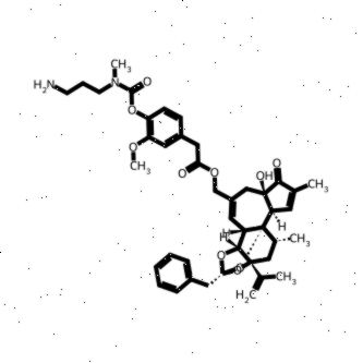 C=C(C)[C@]12C[C@@H](C)[C@@]34O[C@](Cc5ccccc5)(O[C@@H]1[C@@H]3C=C(COC(=O)Cc1ccc(OC(=O)N(C)CCCN)c(OC)c1)C[C@]1(O)C(=O)C(C)=C[C@@H]41)O2